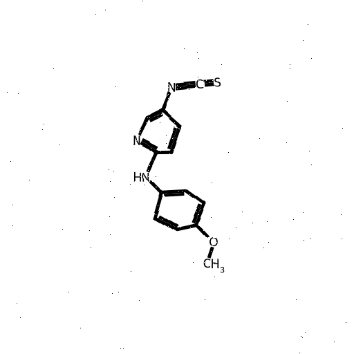 COc1ccc(Nc2ccc(N=C=S)cn2)cc1